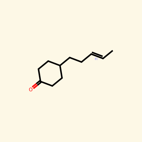 C/C=C/CCC1CCC(=O)CC1